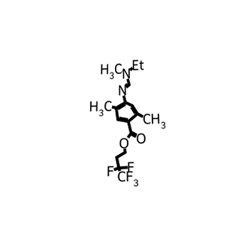 CCN(C)/C=N/c1cc(C)c(C(=O)OCCC(F)(F)C(F)(F)F)cc1C